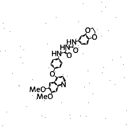 COc1cc2nccc(Oc3ccc(NC(=O)NC(=O)Nc4ccc5c(c4)OCCO5)cc3)c2cc1OC